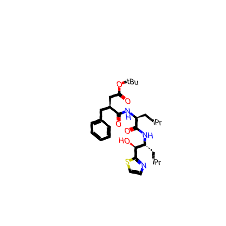 CC(C)C[C@H](NC(=O)[C@H](CC(=O)OC(C)(C)C)Cc1ccccc1)C(=O)N[C@H](CC(C)C)[C@H](O)c1nccs1